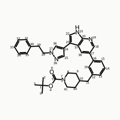 CC(C)(C)OC(=O)N1CCC(Cc2cccc(-c3cnc4[nH]cc(-c5cnn(CCc6ccccc6)c5)c4c3)c2)CC1